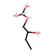 CCC(O)COB(O)O